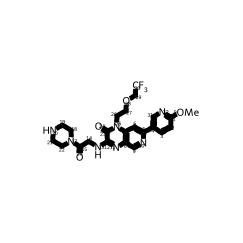 COc1ccc(-c2cc3c(cn2)nc(NCC(=O)N2CCNCC2)c(=O)n3CCOCC(F)(F)F)cn1